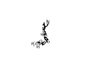 CC(=O)N[C@@H]1CCN(C(=O)c2ccc(Nc3nccc(-c4cnn(C(CC#N)C5CC5)c4)n3)cc2)C1